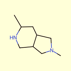 CC1CC2CN(C)CC2CN1